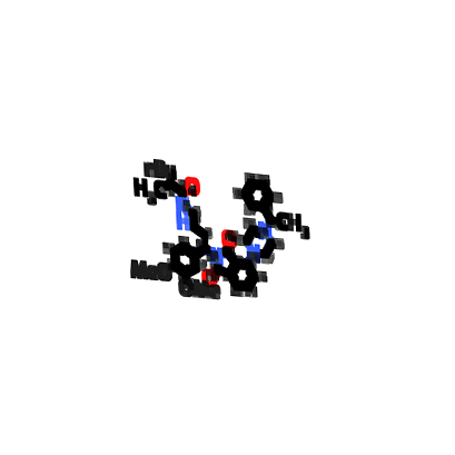 CCCCC(C)C(=O)NCCC[C@H](c1ccc(OC)c(OC)c1)N1C(=O)c2cccc(N3CCN([C@H](C)c4ccccc4)CC3)c2C1=O